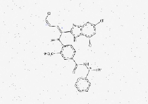 C=C(/C(=C\C=C/Cl)c1nc2cc(Cl)cc(Cl)c2[nH]1)c1ccc(C(=O)N[C@H](CCC)c2ccccc2)cc1C(=O)O